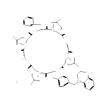 CC(C)C[C@H]1C(=O)O[C@H](Cc2ccc(CN3CCNc4ccccc43)cc2)C(=O)N(C)[C@@H](CC(C)C)C(=O)O[C@H](C)C(=O)N(C)[C@@H](CC(C)C)C(=O)O[C@H](Cc2ccccc2)C(=O)N(C)[C@@H](CC(C)C)C(=O)O[C@H](C)C(=O)N1C.Cl